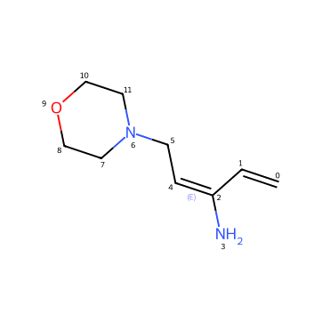 C=C/C(N)=C\CN1CCOCC1